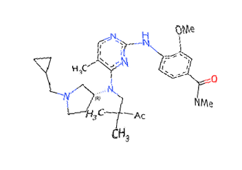 CNC(=O)c1ccc(Nc2ncc(C)c(N(CC(C)(C)C(C)=O)[C@@H]3CCN(CC4CC4)C3)n2)c(OC)c1